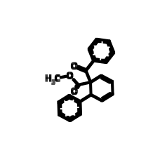 COC(=O)C1(C(=O)c2ccccc2)C=CC=CC1c1ccccc1